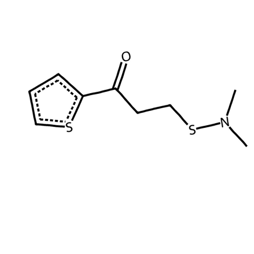 CN(C)SCCC(=O)c1cccs1